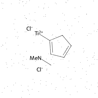 CNC.[Cl-].[Cl-].[Ti+2][C]1=CC=CC1